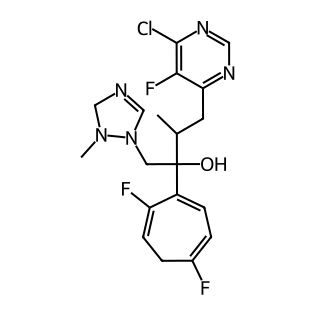 CC(Cc1ncnc(Cl)c1F)C(O)(CN1C=NCN1C)C1=CC=C(F)CC=C1F